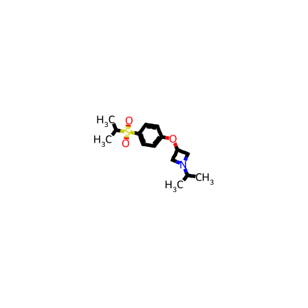 CC(C)N1CC(Oc2ccc(S(=O)(=O)C(C)C)cc2)C1